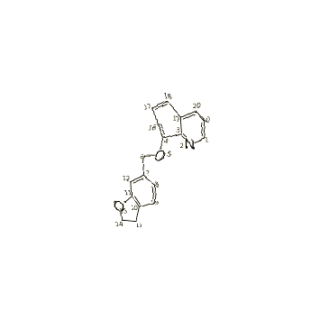 c1cnc2c(OCc3ccc4c(c3)OCC4)cccc2c1